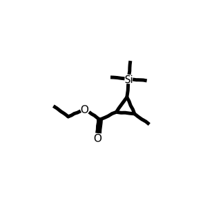 CCOC(=O)C1C(C)C1[Si](C)(C)C